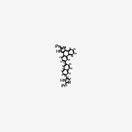 CC(C)c1ncc(-c2ccc3cc(-c4ccc5c(c4)c4ccccc4c4nc(C(C)C)[nH]c54)ccc3c2)[nH]1